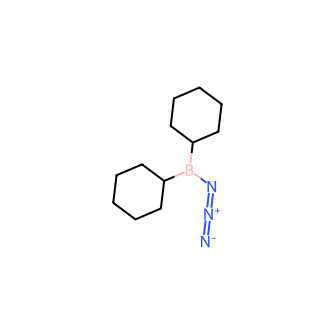 [N-]=[N+]=NB(C1CCCCC1)C1CCCCC1